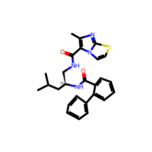 Cc1nc2sccn2c1C(=O)NC[C@H](CC(C)C)NC(=O)c1ccccc1-c1ccccc1